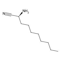 CCCCCCCC[C@H](N)C#N